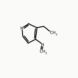 C=Nc1ccncc1CC